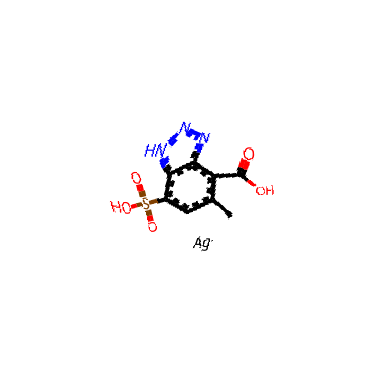 Cc1cc(S(=O)(=O)O)c2[nH]nnc2c1C(=O)O.[Ag]